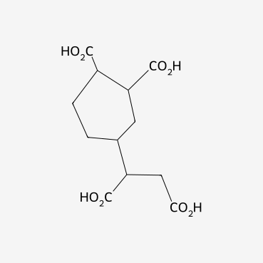 O=C(O)CC(C(=O)O)C1CCC(C(=O)O)C(C(=O)O)C1